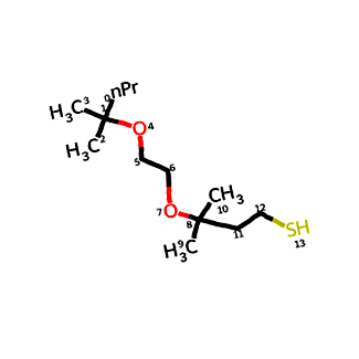 CCCC(C)(C)OCCOC(C)(C)CCS